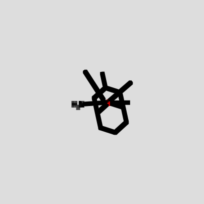 CC1CC2CCCC(C1)C21C(N)N(C)CC1(C)C